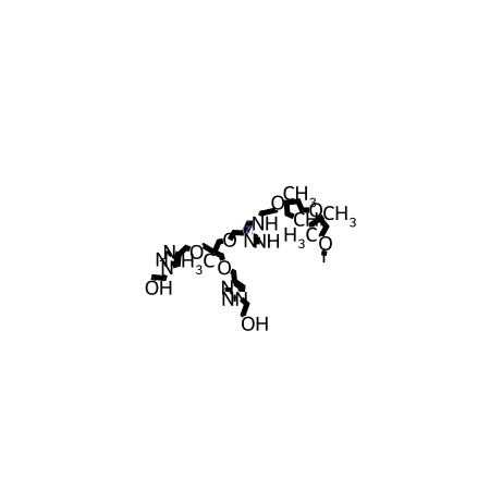 CCC(C)(CCOI)OCCC(C)(CC)OCCN/C=C(/COCC(C)(COCc1cn(CCO)nn1)COCc1cn(CCO)nn1)N=N